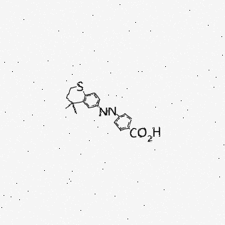 CC1(C)CCSc2ccc(/N=N/c3ccc(C(=O)O)cc3)cc21